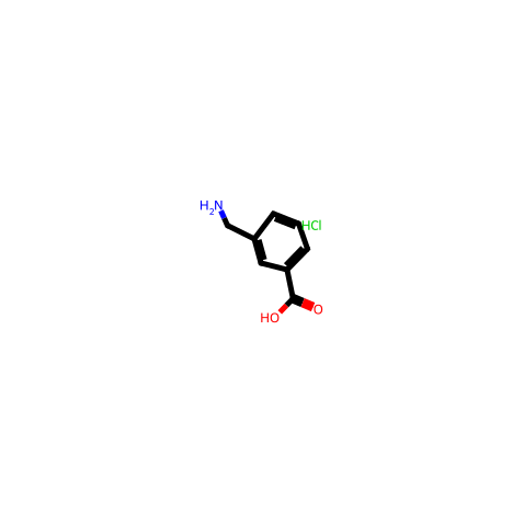 Cl.NCc1cccc(C(=O)O)c1